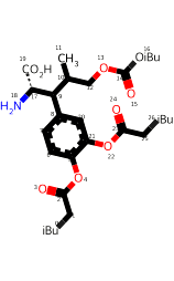 CCC(C)CC(=O)Oc1ccc(C(C(C)COC(=O)OCC(C)C)[C@H](N)C(=O)O)cc1OC(=O)CC(C)CC